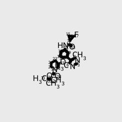 Cc1ncnc(C)c1-c1cc(NC(=O)[C@@H]2C[C@H]2F)ccc1O[C@@H]1CCCN(C(=O)OC(C)(C)C)C1